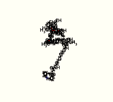 C#CCCCCN(C(=O)C(NC(=O)[C@H]1CCCCN1C)[C@@H](C)CC)[C@H](C[C@@H](OC(C)=O)c1nc(C(=O)N[C@@H](Cc2ccc(NC(=O)[C@H](CCCNC(N)O)NC(=O)[C@@H](NC(=O)CCOCCOCCOCCOCCNC(=O)CCC(=O)N3Cc4ccccc4/C=C\c4ccccc43)C(C)C)cc2)CC(C)(C)C(=O)O)cs1)C(C)C